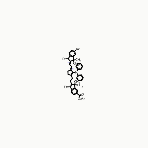 CCC1/C(=C/C=C2\CCC(CCC3=[N+](CC)c4ccc(C(=O)OC)cc4C3(C)C)=C2N(c2ccccc2)c2ccccc2)C(C)(C)c2cc(C(C)=O)ccc21